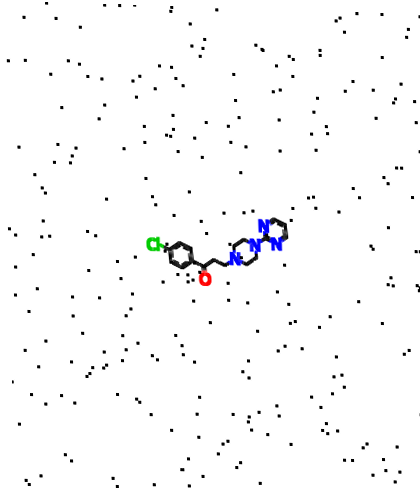 O=C(CCN1CCN(c2ncccn2)CC1)c1ccc(Cl)cc1